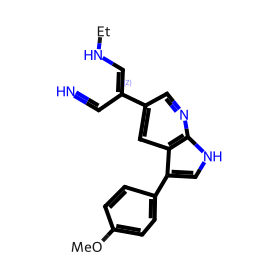 CCN/C=C(\C=N)c1cnc2[nH]cc(-c3ccc(OC)cc3)c2c1